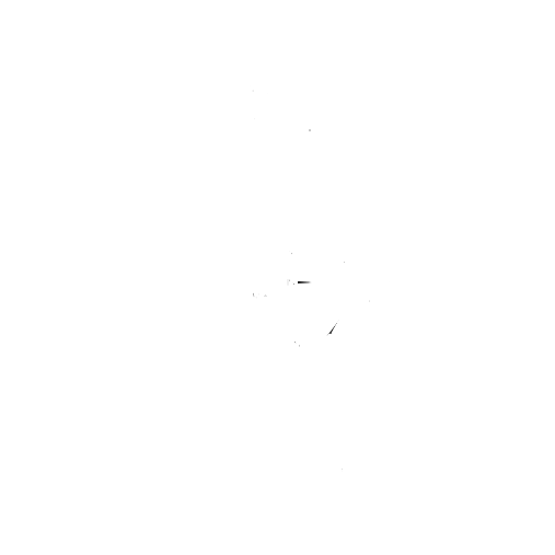 COc1cc(F)c(O[C@H]2CC[C@@](CO)(C(=O)O)CC2)cc1C(=O)N[C@H]1[C@H]2CC[C@H](C2)[C@H]1C(=O)Nc1cccc(S(=O)(=O)C(F)(F)F)c1